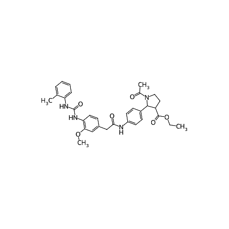 CCOC(=O)C1CCN(C(C)=O)C1c1ccc(NC(=O)Cc2ccc(NC(=O)Nc3ccccc3C)c(OC)c2)cc1